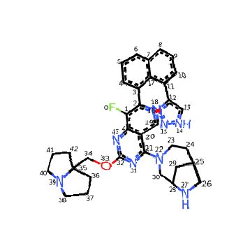 Fc1c(-c2cccc3cccc(-c4c[nH]nn4)c23)ncc2c(N3CCC4CNC(C4)C3)nc(OCC34CCCN3CCC4)nc12